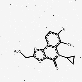 CC(=O)OCc1nc2c(=O)n(C3CC3)c3c(C)c(Br)ccc3c2o1